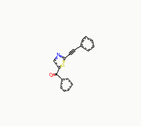 O=C(c1ccccc1)c1cnc(C#Cc2ccccc2)s1